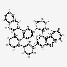 c1ccc(-c2nc3ccccc3nc2-c2cccc(-c3cccc(-c4nc(-c5ccccc5)c5c(n4)oc4ccccc45)c3)c2)cc1